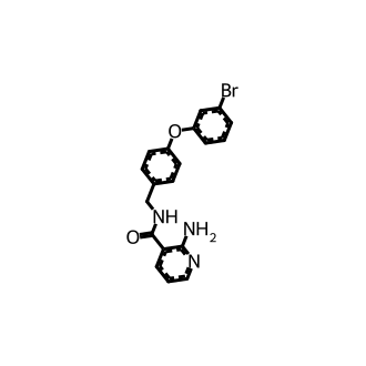 Nc1ncccc1C(=O)NCc1ccc(Oc2cccc(Br)c2)cc1